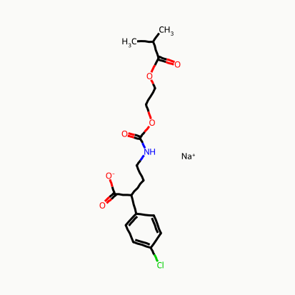 CC(C)C(=O)OCCOC(=O)NCCC(C(=O)[O-])c1ccc(Cl)cc1.[Na+]